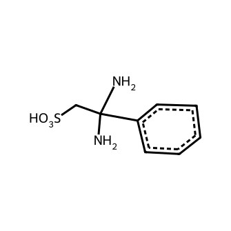 NC(N)(CS(=O)(=O)O)c1ccccc1